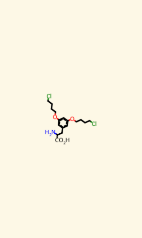 NC(Cc1cc(OCCCCCl)cc(OCCCCCl)c1)C(=O)O